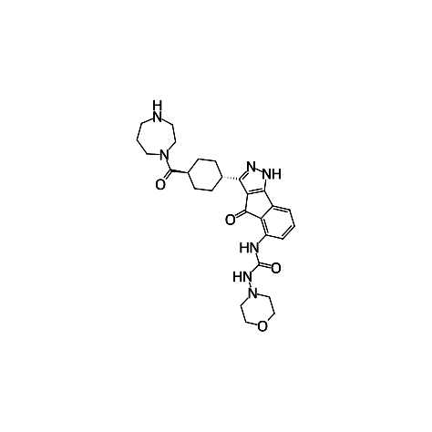 O=C(Nc1cccc2c1C(=O)c1c-2[nH]nc1[C@H]1CC[C@H](C(=O)N2CCCNCC2)CC1)NN1CCOCC1